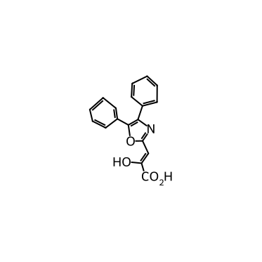 O=C(O)/C(O)=C/c1nc(-c2ccccc2)c(-c2ccccc2)o1